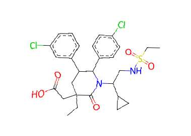 CCC1(CC(=O)O)CC(c2cccc(Cl)c2)C(c2ccc(Cl)cc2)N(C(CNS(=O)(=O)CC)C2CC2)C1=O